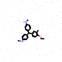 CCOc1ccc(C(c2ccc(NC)cc2)c2ccc(NC)cc2)cc1C